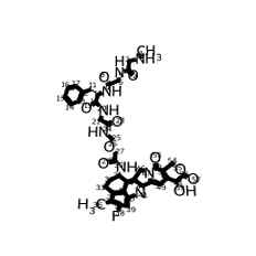 CNCC(=O)NCC(=O)N[C@@H](Cc1ccccc1)C(=O)NCC(=O)NCOCC(=O)N[C@H]1CCc2c(C)c(F)cc3nc4c(c1c23)Cn1c-4cc2c(c1=O)COC(=O)[C@H]2O